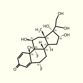 C[C@]12C=CC(=O)C=C1[C@@H](F)C[C@H]1[C@@H]3C[C@@H](O)[C@](O)(C(O)CO)[C@@]3(C)C[C@H](O)[C@@]12F